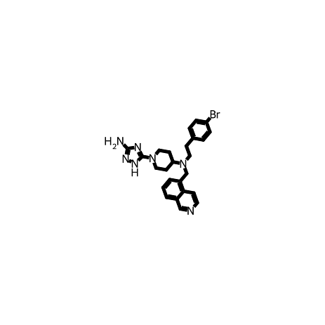 Nc1n[nH]c(N2CCC(N(CCc3ccc(Br)cc3)Cc3cccc4cnccc34)CC2)n1